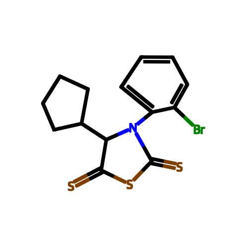 S=C1SC(=S)N(c2ccccc2Br)C1C1CCCC1